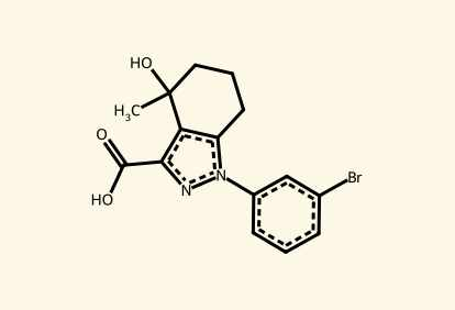 CC1(O)CCCc2c1c(C(=O)O)nn2-c1cccc(Br)c1